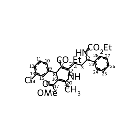 CCOC(=O)NC(CCC1=C(C(=O)OCC)C(c2cccc(Cl)c2)C(C(=O)OC)=C(C)N1)c1ccccc1